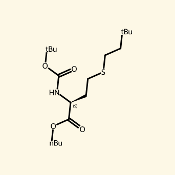 CCCCOC(=O)[C@H](CCSCCC(C)(C)C)NC(=O)OC(C)(C)C